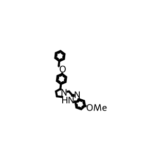 COc1ccc2[nH]c(CN3CCCC3c3ccc(OCc4ccccc4)cc3)nc2c1